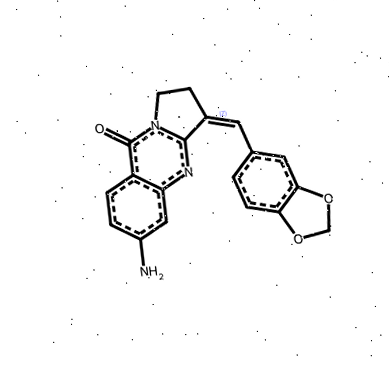 Nc1ccc2c(=O)n3c(nc2c1)/C(=C\c1ccc2c(c1)OCO2)CC3